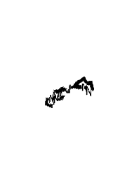 C1=CN(N2CCC2)CN1c1ccc2ccnn2c1